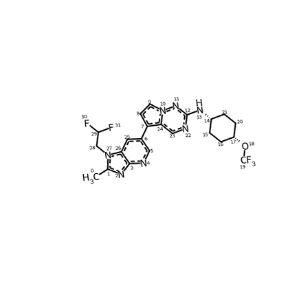 Cc1nc2ncc(-c3ccn4nc(N[C@H]5CC[C@@H](OC(F)(F)F)CC5)ncc34)cc2n1CC(F)F